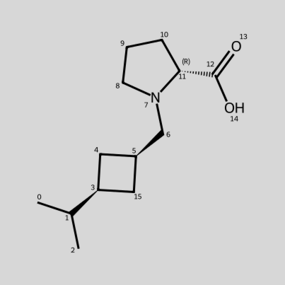 CC(C)[C@H]1C[C@@H](CN2CCC[C@@H]2C(=O)O)C1